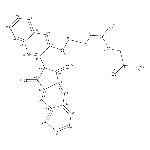 CCCCC(CC)COC(=O)CCCOc1cc2ccccc2nc1C1C(=O)c2cc3ccccc3cc2C1=O